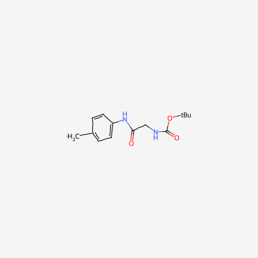 [CH2]c1ccc(NC(=O)CNC(=O)OC(C)(C)C)cc1